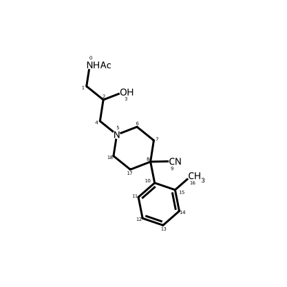 CC(=O)NCC(O)CN1CCC(C#N)(c2ccccc2C)CC1